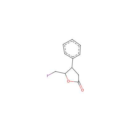 O=C1CC(c2ccccc2)C(CI)O1